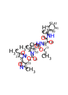 CCCC[C@H](NC(=O)O[C@@H]1CN(C(=O)OCc2c(C)noc2-c2cc(C)on2)CC1(C)C)C(=O)C(=O)N[C@H](C)c1ccccc1